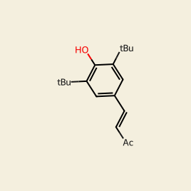 [CH2]C(=O)/C=C/c1cc(C(C)(C)C)c(O)c(C(C)(C)C)c1